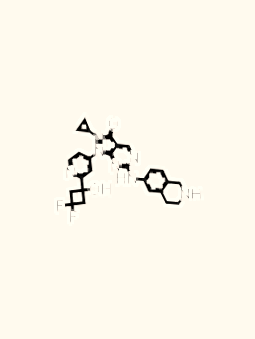 O=c1c2cnc(Nc3ccc4c(c3)CCNC4)nc2n(-c2ccnc(C3(O)CC(F)(F)C3)c2)n1C1CC1